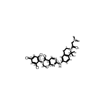 CN(C)CC(=O)N1CCc2cc(Nc3ncc4c(n3)OCN(c3c(Cl)cc(Cl)cc3Cl)C4=O)ccc2C1(C)C